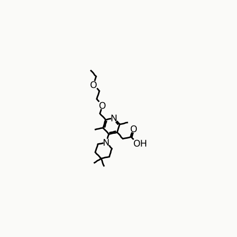 CCOCCOCc1nc(C)c(CC(=O)O)c(N2CCC(C)(C)CC2)c1C